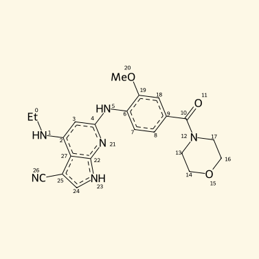 CCNc1cc(Nc2ccc(C(=O)N3CCOCC3)cc2OC)nc2[nH]cc(C#N)c12